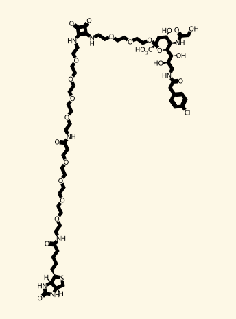 O=C(CCCC[C@H]1SC[C@H]2NC(=O)N[C@H]21)NCCOCCOCCOCCOCCC(=O)NCCOCCOCCOCCOCCNc1c(NCCOCCOCCO[C@]2(C(=O)O)C[C@H](O)[C@@H](NC(=O)CO)[C@H]([C@H](O)[C@H](O)CNC(=O)Cc3ccc(Cl)cc3)O2)c(=O)c1=O